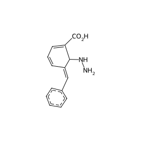 NNC1C(=Cc2ccccc2)C=CC=C1C(=O)O